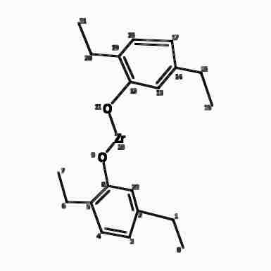 CCc1ccc(CC)c([O][Zr][O]c2cc(CC)ccc2CC)c1